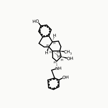 C[C@]12CC[C@@H]3c4ccc(O)cc4CC[C@H]3[C@@H]1C[C@@H](NCc1ccccc1O)[C@@H]2O